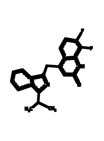 CC(C)c1nn(Cc2cc(=O)[nH]c3c(F)c(F)ccc23)c2ccccc12